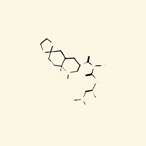 CCN(C(=O)N[C@@H](C)CN(C)C)C(=O)[C@@H]1C[C@@H]2CC3(CC[C@H]2N(C)C1)OCCO3